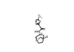 Cc1cnc(C(=O)N[C@@H]2C[C@@H]3CCN(C3)C2)o1